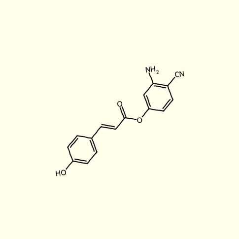 N#Cc1ccc(OC(=O)C=Cc2ccc(O)cc2)cc1N